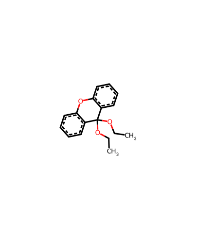 CCOC1(OCC)c2ccccc2Oc2ccccc21